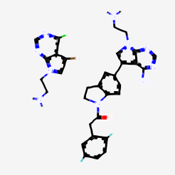 CN(C)CCn1cc(-c2ccc3c(c2)CCN3C(=O)Cc2cc(F)ccc2F)c2c(N)ncnc21.CN(C)CCn1cc(Br)c2c(Cl)ncnc21